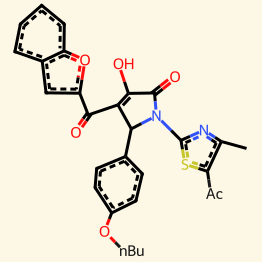 CCCCOc1ccc(C2C(C(=O)c3cc4ccccc4o3)=C(O)C(=O)N2c2nc(C)c(C(C)=O)s2)cc1